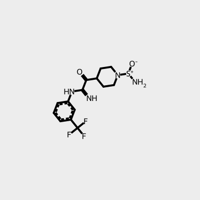 N=C(Nc1cccc(C(F)(F)F)c1)C(=O)C1CCN([S+](N)[O-])CC1